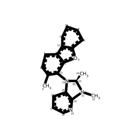 Cc1ccc2c(oc3ccccc32)c1N1c2cccnc2N(C)[C@@H]1C